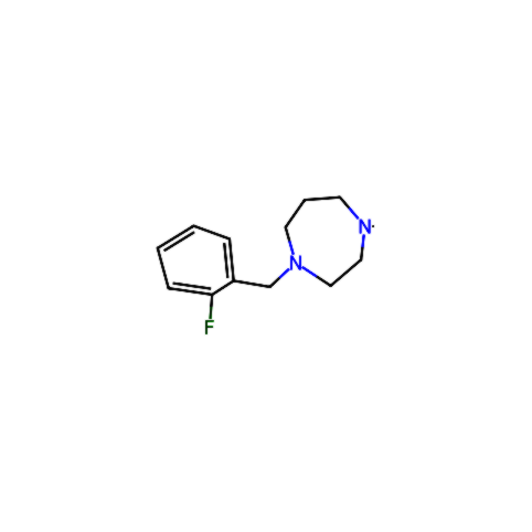 Fc1ccccc1CN1CCC[N]CC1